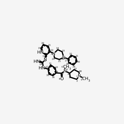 CN1CCC(N(C)C(=O)c2ccc(NC(=N)/N=c3\[nH]cccc3N3CCN(c4ccccc4)CC3)cc2)CC1